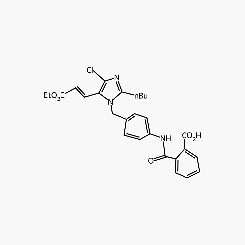 CCCCc1nc(Cl)c(/C=C/C(=O)OCC)n1Cc1ccc(NC(=O)c2ccccc2C(=O)O)cc1